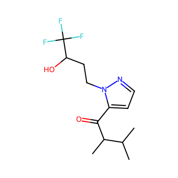 CC(C)C(C)C(=O)c1ccnn1CCC(O)C(F)(F)F